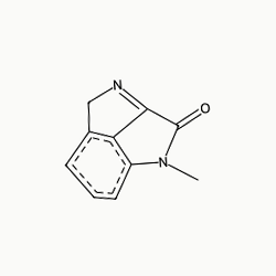 CN1C(=O)C2=NCc3cccc1c32